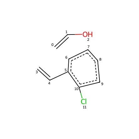 C=CO.C=Cc1ccccc1Cl